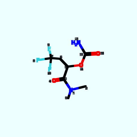 CN(C)C(=O)C(CC(F)(F)F)OC(N)=O